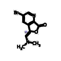 CN(C)/C=C1\OC(=O)c2ncc(Br)cc21